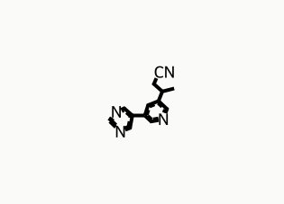 CC(CC#N)c1cncc(-c2cncnc2)c1